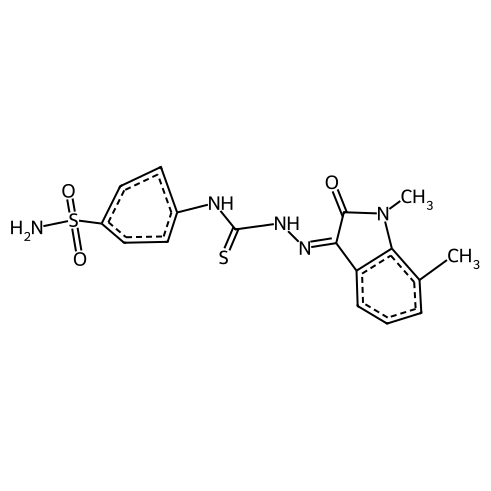 Cc1cccc2c1N(C)C(=O)C2=NNC(=S)Nc1ccc(S(N)(=O)=O)cc1